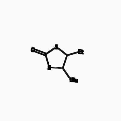 CCC1SC(=O)SC1C(C)(C)C